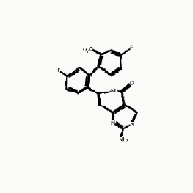 Cc1cc(F)ccc1-c1cc(F)ccc1C1Cc2nc(N)ncc2C(=O)N1